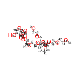 COCCOCCOC1C2CC3CC1C(OCCO[C@H](C)COC1C4OC5OC(C4O)C(O)C1O5)C(O3)C2OCCOCCOC